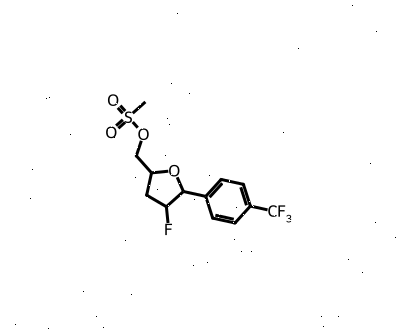 CS(=O)(=O)OCC1CC(F)C(c2ccc(C(F)(F)F)cc2)O1